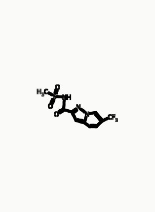 CS(=O)(=O)NC(=O)c1cc2ccc(C(F)(F)F)cn2n1